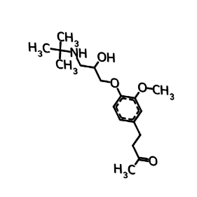 COc1cc(CCC(C)=O)ccc1OCC(O)CNC(C)(C)C